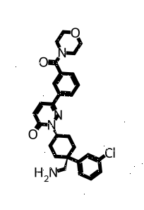 NC[C@]1(c2cccc(Cl)c2)CC[C@H](n2nc(-c3cccc(C(=O)N4CCOCC4)c3)ccc2=O)CC1